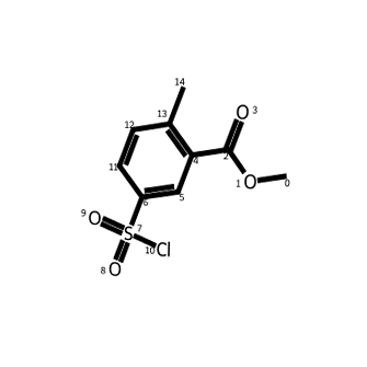 COC(=O)c1cc(S(=O)(=O)Cl)ccc1C